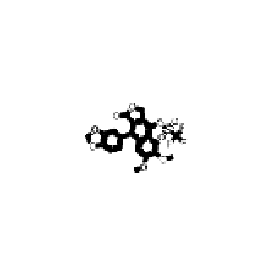 COc1cc2c(OS(=O)(=O)C(F)(F)F)c3c(c(-c4ccc5c(c4)OCO5)c2cc1OC)C(=O)OC3